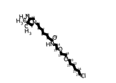 CC1(C)CN(CCCCCCC(=O)NCCOCCOCCCCCCCl)C[C@@H]1N